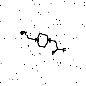 C[C](C)CN1CCN(CC(F)F)CC1